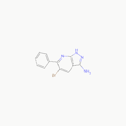 Nc1n[nH]c2nc(-c3ccccc3)c(Br)cc12